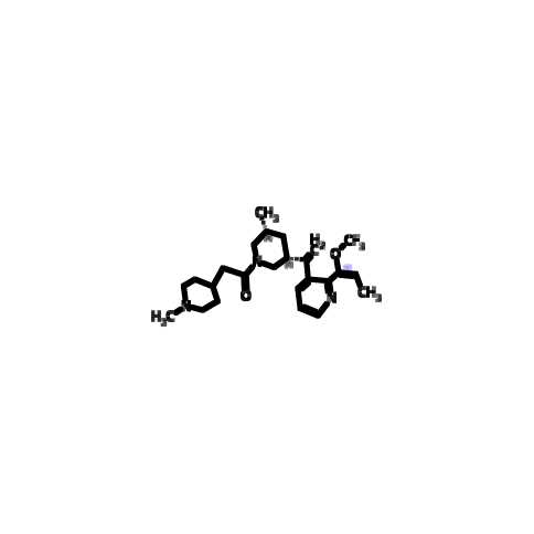 C=C(c1cccnc1/C(=C\C)OC(F)(F)F)[C@H]1C[C@@H](C)CN(C(=O)CC2CCN(C)CC2)C1